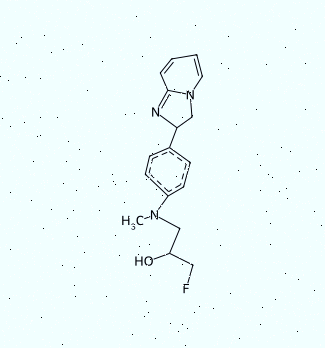 CN(CC(O)CF)c1ccc(C2CN3C=CC=CC3=N2)cc1